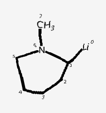 [Li][CH]1CCCCN1C